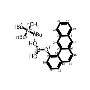 CCCC[N+](C)(CCCC)CCCC.OB(O)Oc1cccc2ccc3cc4ccccc4cc3c12